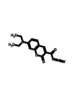 CCN(CC)c1ccc2cc(C(=O)N=[N+]=[N-])c(=O)oc2c1